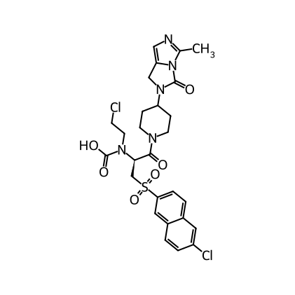 Cc1ncc2n1C(=O)N(C1CCN(C(=O)[C@@H](CS(=O)(=O)c3ccc4cc(Cl)ccc4c3)N(CCCl)C(=O)O)CC1)C2